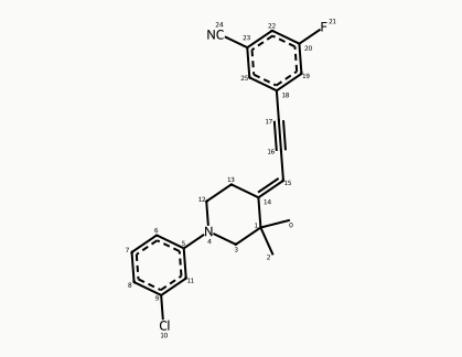 CC1(C)CN(c2cccc(Cl)c2)CC/C1=C\C#Cc1cc(F)cc(C#N)c1